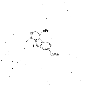 CCC[C@H]1CN=C(C)c2[nH]c3cc(OC)ccc3c21